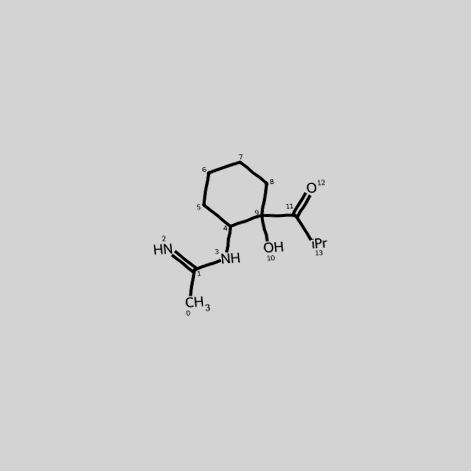 CC(=N)NC1CCCCC1(O)C(=O)C(C)C